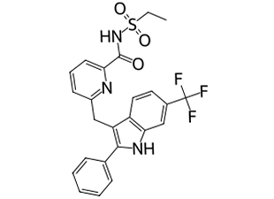 CCS(=O)(=O)NC(=O)c1cccc(Cc2c(-c3ccccc3)[nH]c3cc(C(F)(F)F)ccc23)n1